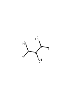 CC(S)C(S)C(C)S